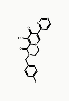 O=C1c2c(O)c(=O)c(-c3ccncn3)cn2CCN1Cc1ccc(F)cc1